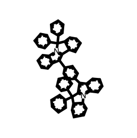 c1ccc(C2(c3ccccc3)c3ccccc3-n3c2c(-c2ccc(-c4c5n(c6ccccc46)C(c4ccccc4)(c4ccccc4)c4ccccc4-5)cc2)c2ccccc23)cc1